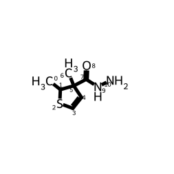 CC1SC=CC1(C)C(=O)NN